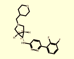 Fc1cccc(-c2ccc(N[C@@H]3[C@@H]4CN(CC5CCOCC5)C[C@@H]43)nn2)c1F